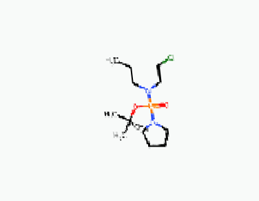 CCCN(CCCl)P(=O)(OC(C)(C)C)N1CCCC1